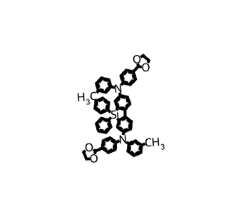 Cc1cccc(N(c2ccc(C3OCCO3)cc2)c2ccc3c(c2)[Si](c2ccccc2)(c2ccccc2)c2cc(N(c4ccc(C5OCCO5)cc4)c4cccc(C)c4)ccc2-3)c1